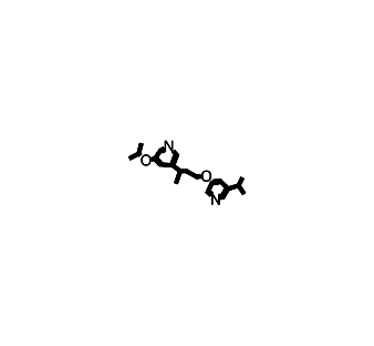 CC(C)Oc1cncc(C(C)CCOc2cncc(C(C)C)c2)c1